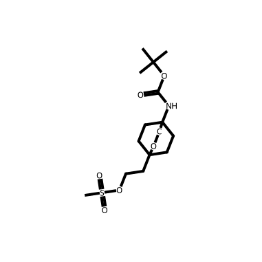 CC(C)(C)OC(=O)NC12CCC(CCOS(C)(=O)=O)(CC1)OC2